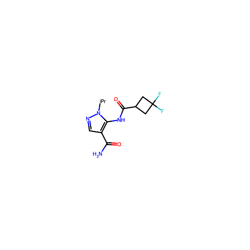 CC(C)n1ncc(C(N)=O)c1NC(=O)C1CC(F)(F)C1